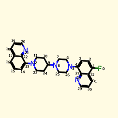 Fc1ccc(N2CCN(C3CCN(c4cccc5cccnc45)CC3)CC2)c2ncccc12